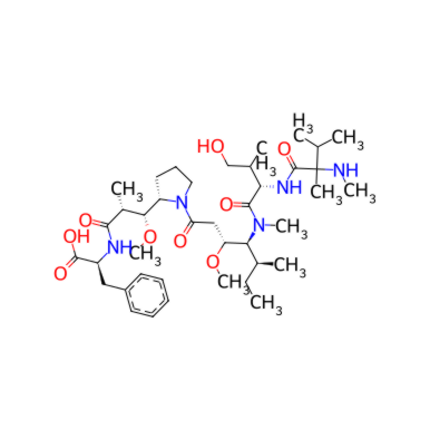 CC[C@H](C)[C@@H]([C@@H](CC(=O)N1CCC[C@H]1[C@H](OC)[C@@H](C)C(=O)N[C@@H](Cc1ccccc1)C(=O)O)OC)N(C)C(=O)[C@@H](NC(=O)C(C)(NC)C(C)C)C(C)CO